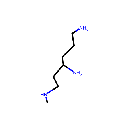 CNCCC(N)CCCN